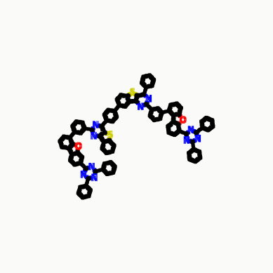 c1ccc(-c2nc(-c3ccccc3)nc(-c3ccc4c(c3)oc3c(-c5cccc(-c6nc(-c7ccc(-c8ccc9sc%10c(-c%11ccccc%11)nc(-c%11cccc(-c%12cccc%13oc%14c(-c%15nc(-c%16ccccc%16)nc(-c%16ccccc%16)n%15)cccc%14c%12%13)c%11)nc%10c9c8)cc7)c7sc8ccccc8c7n6)c5)cccc34)n2)cc1